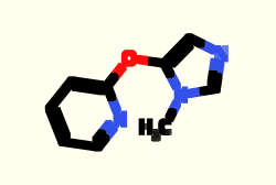 Cn1cncc1Oc1ccccn1